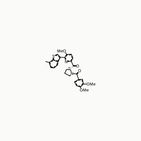 COc1ccc(C(=O)N2CCC[C@@H]2C(=O)c2ccc(OC)c(-c3csc4c(C)cccc34)n2)cc1OC